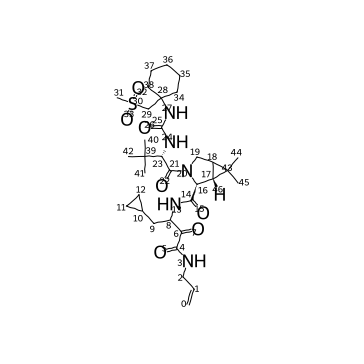 C=CCNC(=O)C(=O)C(CC1CC1)NC(=O)[C@@H]1[C@@H]2C(CN1C(=O)[C@@H](NC(=O)NC1(CS(C)(=O)=O)CCCCC1)C(C)(C)C)C2(C)C